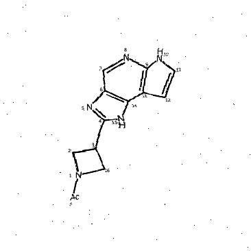 CC(=O)N1CC(c2nc3cnc4[nH]ccc4c3[nH]2)C1